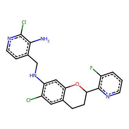 Nc1c(CNc2cc3c(cc2Cl)CCC(c2ncccc2F)O3)ccnc1Cl